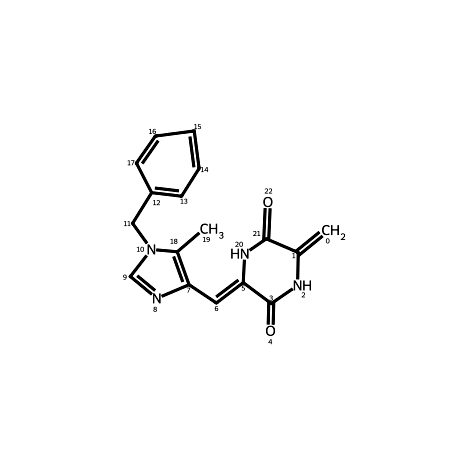 C=c1[nH]c(=O)c(=Cc2ncn(Cc3ccccc3)c2C)[nH]c1=O